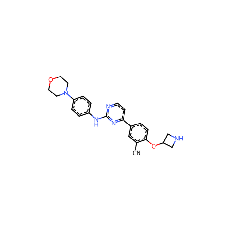 N#Cc1cc(-c2ccnc(Nc3ccc(N4CCOCC4)cc3)n2)ccc1OC1CNC1